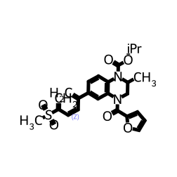 C=C(/C=C\C(=C)S(C)(=O)=O)c1ccc2c(c1)N(C(=O)c1ccco1)CC(C)N2C(=O)OC(C)C